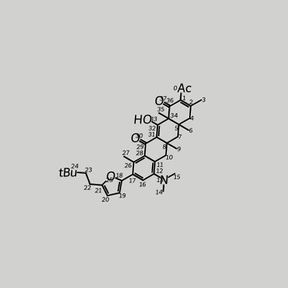 CC(=O)C1=C(C)CC2(C)CC3(C)Cc4c(N(C)C)cc(-c5ccc(CCC(C)(C)C)o5)c(C)c4C(=O)C3=C(O)C2(C)C1=O